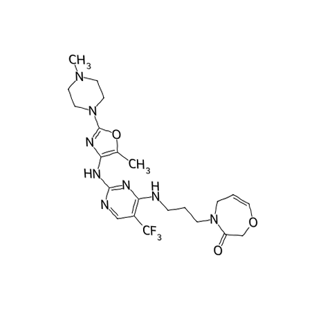 Cc1oc(N2CCN(C)CC2)nc1Nc1ncc(C(F)(F)F)c(NCCCN2CC=COCC2=O)n1